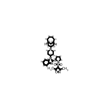 Cc1noc(C)c1S(=O)(=O)N1CCC[C@@H]1c1nc2ccccc2n1C1CCN([C@@H]2C[C@@H]3CCCC[C@@H](C3)C2)CC1